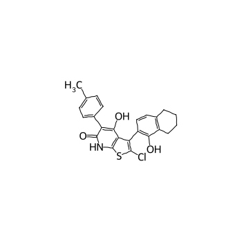 Cc1ccc(-c2c(O)c3c(-c4ccc5c(c4O)CCCC5)c(Cl)sc3[nH]c2=O)cc1